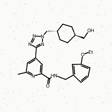 CCOc1cccc(CNC(=O)c2cc(-c3nnn(C[C@H]4CC[C@H](CO)CC4)n3)cc(C)n2)c1